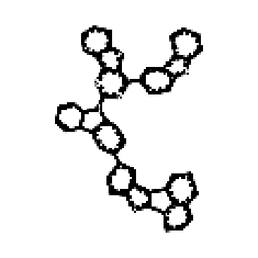 C1=CC2c3cc(-c4ccc5sc6c(c5c4)-c4cccc5cccc-6c45)ccc3N(c3nc(-c4ccc5oc6ccccc6c5c4)c4sc5ccccc5c4n3)C2C=C1